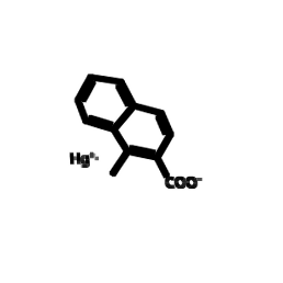 Cc1c(C(=O)[O-])ccc2ccccc12.[Hg+]